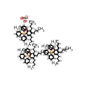 CCCCc1cc([P+](c2ccccc2)(c2ccccc2)c2ccccc2)c(CCCC)c(CCCC)c1CCCC.CCCCc1cc([P+](c2ccccc2)(c2ccccc2)c2ccccc2)c(CCCC)c(CCCC)c1CCCC.CCCCc1cc([P+](c2ccccc2)(c2ccccc2)c2ccccc2)c(CCCC)c(CCCC)c1CCCC.[O-]B([O-])[O-]